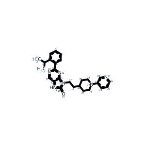 CC(C)c1ccccc1-c1ncc2[nH]c(=O)n(CCC3CCN(c4cccnc4)CC3)c2n1